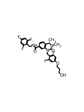 C[C@H]1c2ccc(C(=O)NCc3c(F)cc(F)cc3F)cc2N(Cc2c(F)cc(OCCCO)cc2F)C(=O)N1C